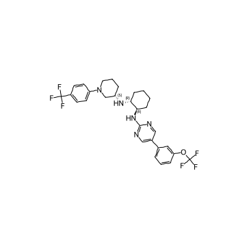 FC(F)(F)Oc1cccc(-c2cnc(N[C@@H]3CCCC[C@H]3N[C@H]3CCCN(c4ccc(C(F)(F)F)cc4)C3)nc2)c1